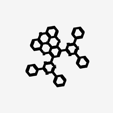 c1ccc(-c2nc(-c3ccccc3)nc(-c3cc(-c4nc(-c5ccccc5)nc(-c5ccccc5)n4)c4c5c3Sc3cccc6c3B5c3c(cccc3S4)O6)n2)cc1